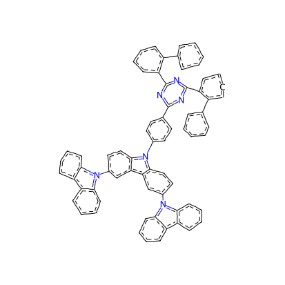 c1ccc(-c2ccccc2-c2nc(-c3ccc(-n4c5ccc(-n6c7ccccc7c7ccccc76)cc5c5cc(-n6c7ccccc7c7ccccc76)ccc54)cc3)nc(-c3ccccc3-c3ccccc3)n2)cc1